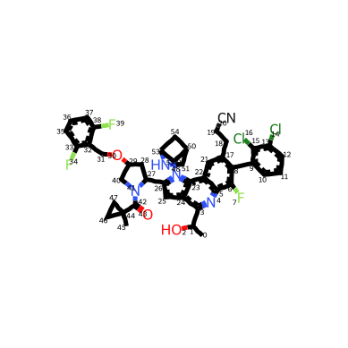 CC(O)c1nc2c(F)c(-c3cccc(Cl)c3Cl)c(CCC#N)cc2c2c1cc(C1CC(OCc3c(F)cccc3F)CN1C(=O)C1(C)CC1)n2C1C2CNC1C2